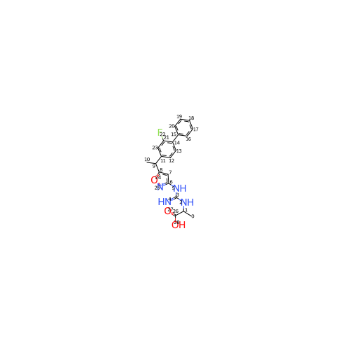 CC(NC(=N)Nc1cc(C(C)c2ccc(-c3ccccc3)c(F)c2)on1)C(=O)O